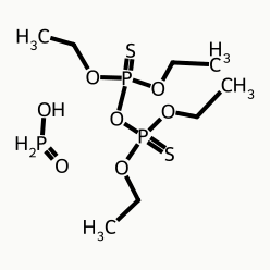 CCOP(=S)(OCC)OP(=S)(OCC)OCC.O=[PH2]O